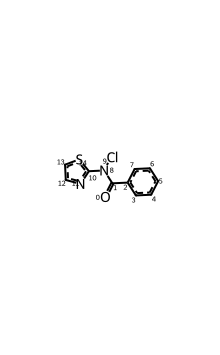 O=C(c1ccccc1)N(Cl)c1nccs1